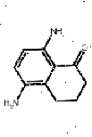 Nc1ccc(N)c2c1CCCC2=O